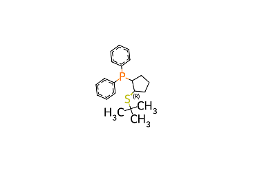 CC(C)(C)S[C@@H]1CCCC1P(c1ccccc1)c1ccccc1